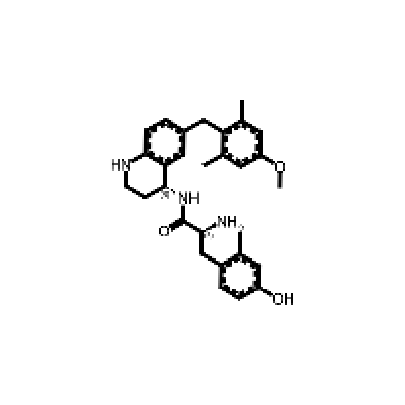 COc1cc(C)c(Cc2ccc3c(c2)[C@H](NC(=O)[C@@H](N)Cc2ccc(O)cc2C)CCN3)c(C)c1